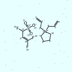 C=CC[N+]1(CC=C)CCCC1.O=S(=O)([O-])C(F)C=C(F)F